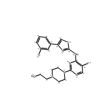 OCCN1CCN(c2ncc(F)c(Nc3nc(-c4cccc(Cl)c4)cs3)n2)CC1